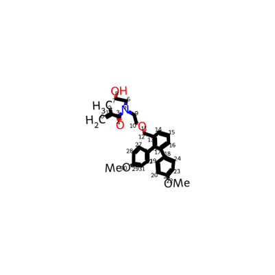 C=C(C)C(=O)N(CCO)CCOCc1cccc(-c2ccc(OC)cc2)c1-c1ccc(OC)cc1